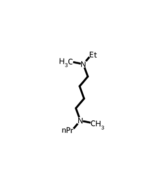 CCCN(C)CCCCN(C)CC